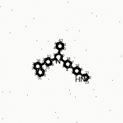 C1=C(c2ccc(-c3ccc(-c4ccc[nH]4)cc3)cc2)N=C(c2ccc(-c3cccc4ccccc34)cc2)CC1c1ccccc1